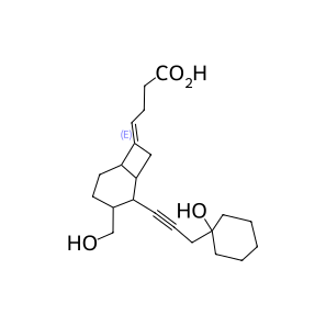 O=C(O)CC/C=C1\CC2C1CCC(CO)C2C#CCC1(O)CCCCC1